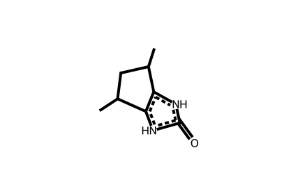 CC1CC(C)c2[nH]c(=O)[nH]c21